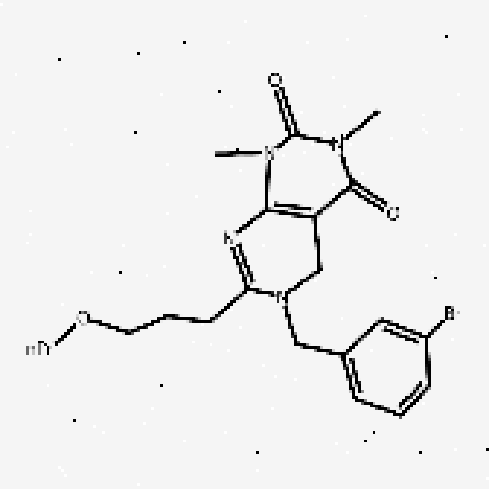 CCCOCCCC1=Nc2c(c(=O)n(C)c(=O)n2C)CN1Cc1cccc(Br)c1